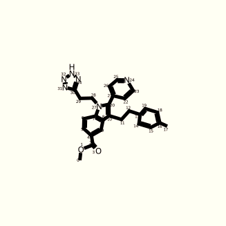 COC(=O)c1ccc2c(c1)c(CCc1ccc(C)cc1)c(-c1ccncc1)n2CCc1nn[nH]n1